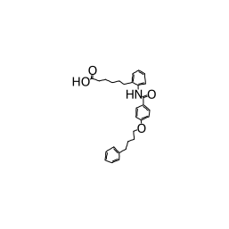 O=C(O)CCCCCc1ccccc1NC(=O)c1ccc(OCCCCc2ccccc2)cc1